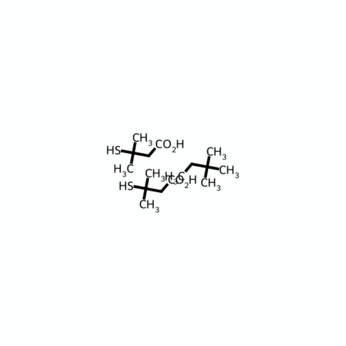 CC(C)(S)CC(=O)O.CC(C)(S)CC(=O)O.CCC(C)(C)C